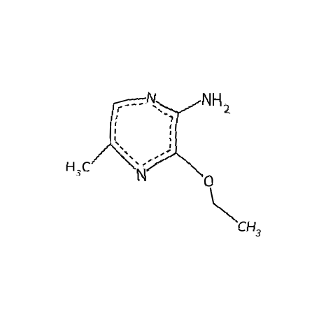 CCOc1nc(C)cnc1N